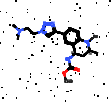 CC(=O)N1c2ccc(-c3cn(CCN(C)C)nn3)cc2[C@H](NC(=O)OC=O)C[C@@H]1C